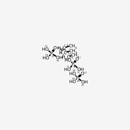 CC.CC.CC.N.O=P(O)(O)O.O=P(O)(O)O.O=P(O)(O)O